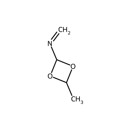 C=NC1OC(C)O1